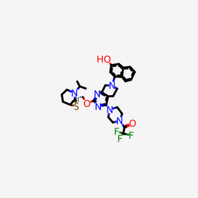 CC(C)N1CCCC2S[C@@]21COc1nc2c(c(N3CCN(C(=O)C(F)(F)F)CC3)n1)CCN(c1cc(O)cc3ccccc13)C2